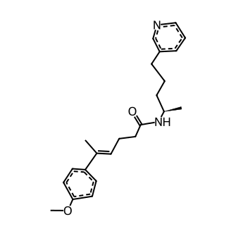 COc1ccc(/C(C)=C/CCC(=O)N[C@H](C)CCCc2cccnc2)cc1